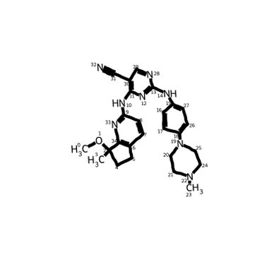 COC1(C)CCc2ccc(Nc3nc(Nc4ccc(N5CCN(C)CC5)cc4)ncc3C#N)nc21